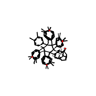 Cc1ccc(C2(C)C(c3ccc(C)c(C)c3)(c3ccc(C)c(C)c3)C(c3ccc(C)c(C)c3)(c3ccc(C)c(C)c3)C(c3ccc(C)c(C)c3)(S(=O)(=O)N3CCC=CC3=O)C(c3ccc(C)c(C)c3)(c3ccc(C)c(C)c3)C2(c2ccc(C)c(C)c2)c2ccc(C)c(C)c2)cc1C